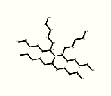 CCCCC[CH](CCCCC)[Cr]([CH](CCCCC)CCCCC)[CH](CCCCC)CCCCC